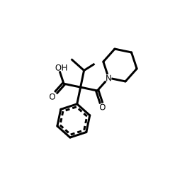 CC(C)C(C(=O)O)(C(=O)N1CCCCC1)c1ccccc1